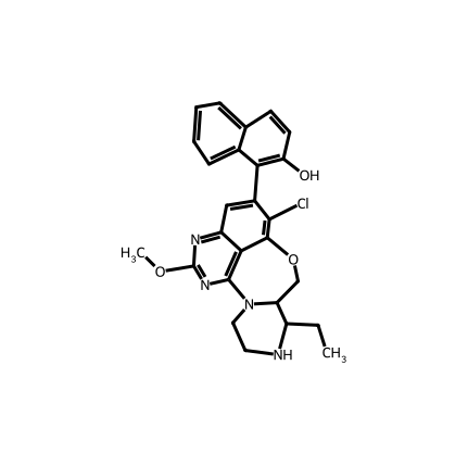 CCC1NCCN2c3nc(OC)nc4cc(-c5c(O)ccc6ccccc56)c(Cl)c(c34)OCC12